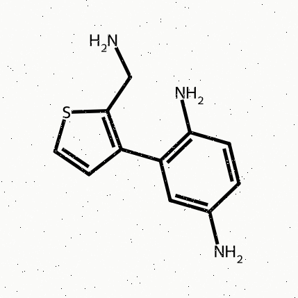 NCc1sccc1-c1cc(N)ccc1N